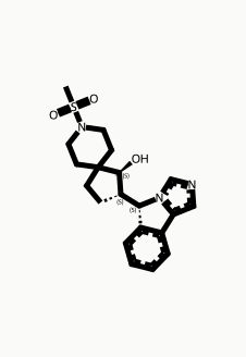 CS(=O)(=O)N1CCC2(CC[C@@H]([C@H]3c4ccccc4-c4cncn43)[C@@H]2O)CC1